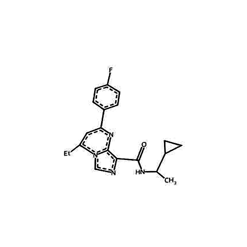 CCc1cc(-c2ccc(F)cc2)nc2c(C(=O)NC(C)C3CC3)ncn12